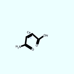 NC(=O)/C=C\C(=O)O.[Ce]